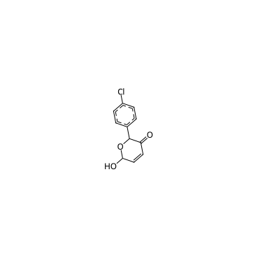 O=C1C=CC(O)OC1c1ccc(Cl)cc1